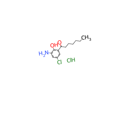 CCCCCCC(=O)c1cc(Cl)cc(N)c1O.Cl